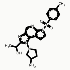 Cc1ccc(S(=O)(=O)n2ccc3c2ncc2nc(C(C)O)n(N4CCC(N)C4)c23)cc1